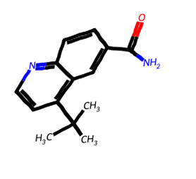 CC(C)(C)c1ccnc2ccc(C(N)=O)cc12